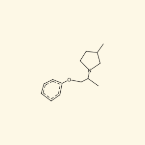 CC1CCN(C(C)COc2ccccc2)C1